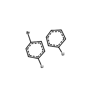 [Li][c]1ccc(Br)cc1.[Li][c]1ccccc1